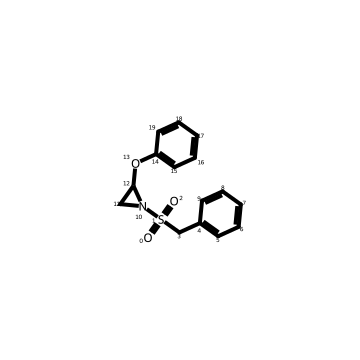 O=S(=O)(Cc1ccccc1)N1CC1Oc1ccccc1